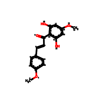 COc1ccc(/C=C/C(=O)c2c(O)cc(OC)cc2O)cc1